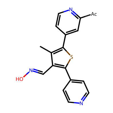 CC(=O)c1cc(-c2sc(-c3ccncc3)c(C=NO)c2C)ccn1